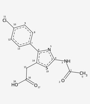 CC(=O)Nc1nc(-c2ccc(Cl)cc2)c(CC(=O)O)s1